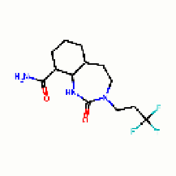 NC(=O)C1CCCC2CCN(CCC(F)(F)F)C(=O)NC21